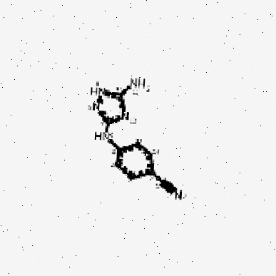 N#Cc1ccc(Nc2n[nH]c(N)n2)cc1